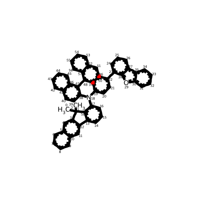 CC1(C)c2cc3ccccc3cc2-c2cccc(N(c3ccc(-c4cccc5c4oc4ccccc45)cc3)c3ccc4ccccc4c3-c3cccc4ccccc34)c21